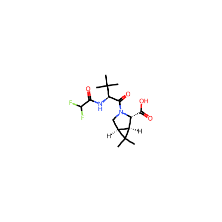 CC(C)(C)[C@H](NC(=O)C(F)F)C(=O)N1C[C@H]2[C@@H]([C@H]1C(=O)O)C2(C)C